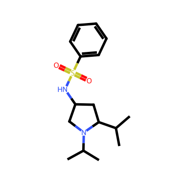 CC(C)C1CC(NS(=O)(=O)c2ccccc2)CN1C(C)C